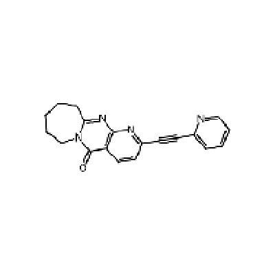 O=c1c2ccc(C#Cc3ccccn3)nc2nc2n1CCCCC2